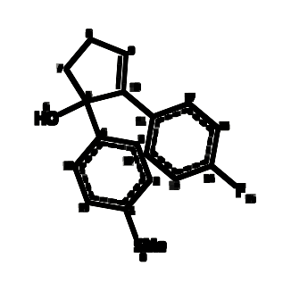 CSc1ccc(C2(O)CCC=C2c2ccc(F)cc2)cc1